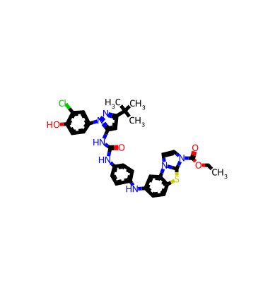 CCOC(=O)N1C=CN2c3cc(Nc4ccc(NC(=O)Nc5cc(C(C)(C)C)nn5-c5ccc(O)c(Cl)c5)cc4)ccc3SC12